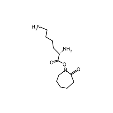 NCCCC[C@H](N)C(=O)ON1CCCCCC1=O